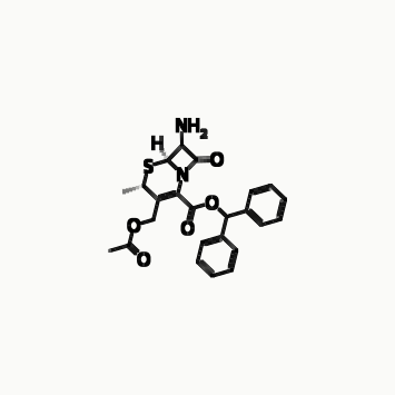 CC(=O)OCC1=C(C(=O)OC(c2ccccc2)c2ccccc2)N2C(=O)C(N)[C@@H]2S[C@H]1C